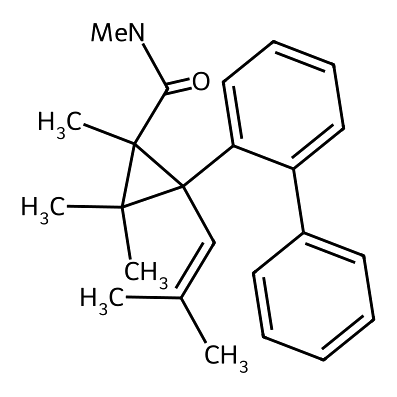 CNC(=O)C1(C)C(C)(C)C1(C=C(C)C)c1ccccc1-c1ccccc1